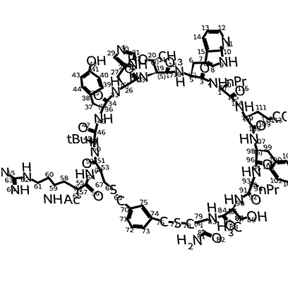 CCC[C@@H]1NC(=O)[C@H](Cc2c[nH]c3ncccc23)NC(=O)[C@H]([C@@H](C)O)NC(=O)[C@H](Cc2cnc[nH]2)NC(=O)[C@H](Cc2ccc(O)cc2)NC(=O)[C@H](C(C)(C)C)NC(=O)[C@@H](NC(=O)[C@H](CCCCNC(=N)N)NC(C)=O)CSCc2cccc(c2)CSC[C@@H](C(N)=O)NC(=O)[C@H]([C@@H](C)O)NC(=O)[C@H](CCC)NC(=O)[C@H](Cc2ccc(O)cc2)NC(=O)[C@H](CCC(=O)O)NC1=O